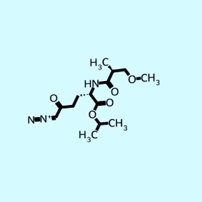 COC[C@H](C)C(=O)N[C@@H](CCC(=O)C=[N+]=[N-])C(=O)OC(C)C